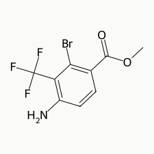 COC(=O)c1ccc(N)c(C(F)(F)F)c1Br